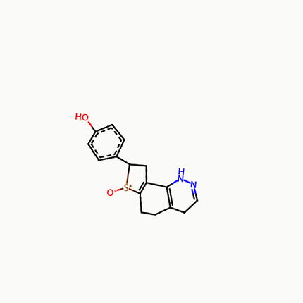 [O-][S+]1C2=C(CC1c1ccc(O)cc1)C1=C(CC=NN1)CC2